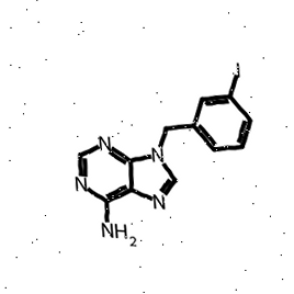 Nc1ncnc2c1ncn2Cc1cccc(I)c1